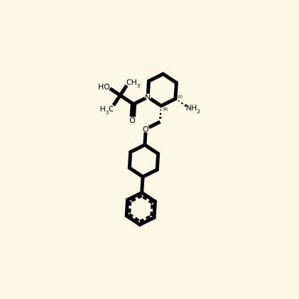 CC(C)(O)C(=O)N1CCC[C@H](N)[C@@H]1COC1CCC(c2ccccc2)CC1